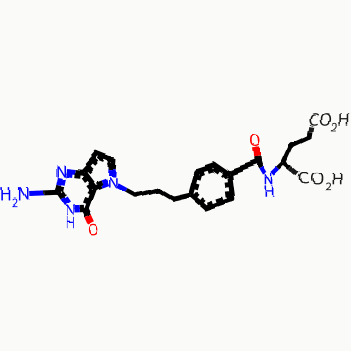 Nc1nc2ccn(CCCc3ccc(C(=O)NC(CCC(=O)O)C(=O)O)cc3)c2c(=O)[nH]1